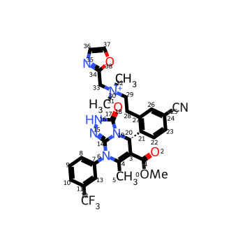 COC(=O)C1=C(C)N(c2cccc(C(F)(F)F)c2)c2n[nH]c(=O)n2[C@@H]1c1ccc(C#N)cc1CC[N+](C)(C)Cc1ncco1